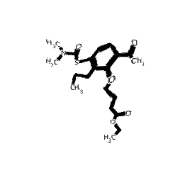 CCCc1c(SC(=O)N(C)C)ccc(C(C)=O)c1OCCCC(=O)OCC